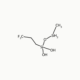 C[SiH2]O[Si](O)(O)CCC(F)(F)F